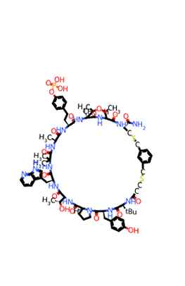 CC1O[C@@H](C)[C@@H]2NC(=O)[C@@]1(C)NC(=O)[C@H](CCc1ccc(OP(=O)(O)O)cc1)NC(=O)[C@H](C)NC(=O)C(C)(C)NC(=O)[C@H](Cc1c[nH]c3ncccc13)NC(=O)[C@H]([C@@H](C)O)NC(=O)[C@@H]1CCCN1C(=O)[C@H](Cc1ccc(O)cc1)NC(=O)[C@H](C(C)(C)C)NC(=O)CCSCc1cccc(c1)CSC[C@@H](C(N)=O)NC2=O